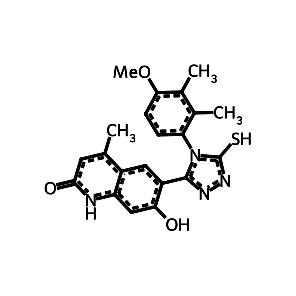 COc1ccc(-n2c(S)nnc2-c2cc3c(C)cc(=O)[nH]c3cc2O)c(C)c1C